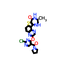 C[C@@H]1CNc2c(sc3ccc4nc(Oc5nc(Cl)ncc5C(=O)N5CCCC5)cnc4c23)C(=O)N1